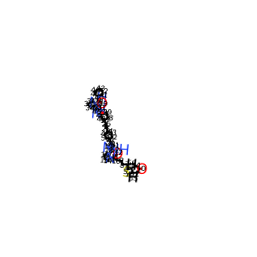 O=C1C[C@H]2CS[C@@H](CCCCC(=O)N3CCC[C@@H]3c3nc(-c4ccc(C#Cc5ccc6[nH]c([C@H]7CCCN7C(=O)c7ccccc7)nc6c5)cc4)c[nH]3)[C@H]2C1